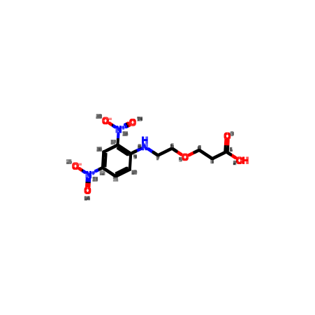 O=C(O)CCOCCNc1ccc([N+](=O)[O-])cc1[N+](=O)[O-]